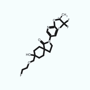 C[C@H](Oc1ccc(N2CCC3(CCC(O)(COCCF)CC3)C2=O)cn1)C(F)(F)F